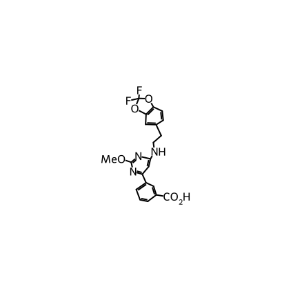 COc1nc(NCCc2ccc3c(c2)OC(F)(F)O3)cc(-c2cccc(C(=O)O)c2)n1